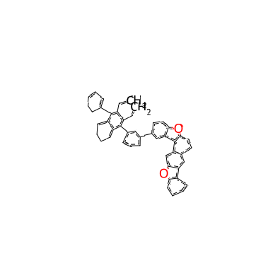 C=Cc1c(C=C)c(-c2cccc(-c3ccc4oc5ccc6cc7c(cc6c5c4c3)oc3ccccc37)c2)c2c(c1C1=CC=CCC1)=CCCC=2